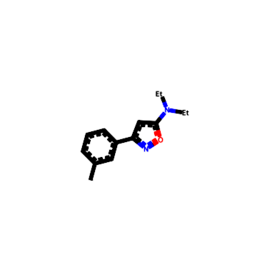 [CH2]c1cccc(-c2cc(N(CC)CC)on2)c1